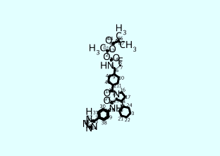 CC(OC(=O)N[C@H](CF)C1CCC(C(=O)N2CC[C@@H](C3CCCCC3)[C@H]2C(=O)Nc2ccc(-c3nnn[nH]3)cc2)CC1)OC(=O)C(C)C